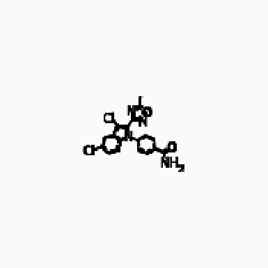 Cc1nc(-c2c(Cl)c3cc(Cl)ccc3n2-c2ccc(C(N)=O)cc2)no1